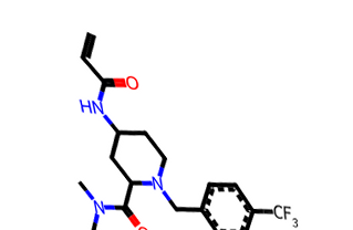 C=CC(=O)NC1CCN(Cc2ccc(C(F)(F)F)cc2)C(C(=O)N(C)C)C1